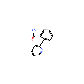 NC(=O)c1ccccc1-c1ccccn1